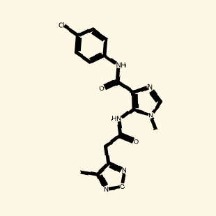 Cc1nonc1CC(=O)Nc1c(C(=O)Nc2ccc(Cl)cc2)ncn1C